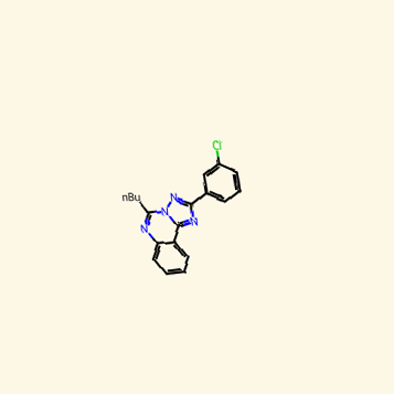 CCCCc1nc2ccccc2c2nc(-c3cccc(Cl)c3)nn12